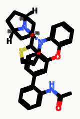 CC(=O)Nc1ccccc1-c1ccc2c(c1)Oc1ccccc1N2[C@H]1C[C@H]2CC[C@@H](C1)N2CC1CC=CS1